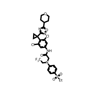 CCS(=O)(=O)c1ccc(N(CC(=O)Nc2cc(Cl)c(C3(c4noc(C5CCOCC5)n4)CC3)c(Cl)c2)CC(F)(F)F)cc1